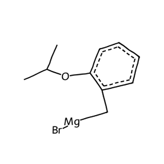 CC(C)Oc1ccccc1[CH2][Mg][Br]